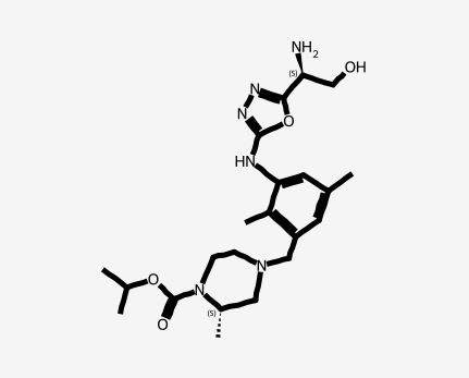 Cc1cc(CN2CCN(C(=O)OC(C)C)[C@@H](C)C2)c(C)c(Nc2nnc([C@@H](N)CO)o2)c1